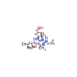 CCc1cc2cc(-c3c(C)nc(NCC4CC4)nc3N[C@@H]3C[C@H](CO)C[C@H]3C)oc2cn1